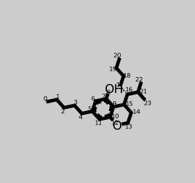 CCCCCc1cc(O)c2c(c1)OCCC2[C@H](CCCC)C(C)C